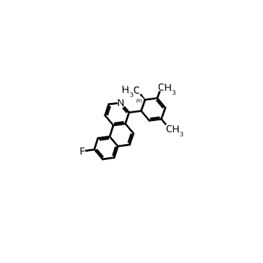 CC1=CC(c2nccc3c2ccc2ccc(F)cc23)[C@@H](C)C(C)=C1